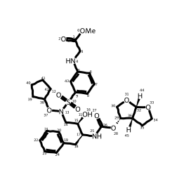 COC(=O)CNc1cccc(S(=O)(=O)N(C[C@@H](O)[C@H](Cc2ccccc2)NC(=O)O[C@@H]2CO[C@@H]3OCC[C@@H]32)OC2CCCC2)c1